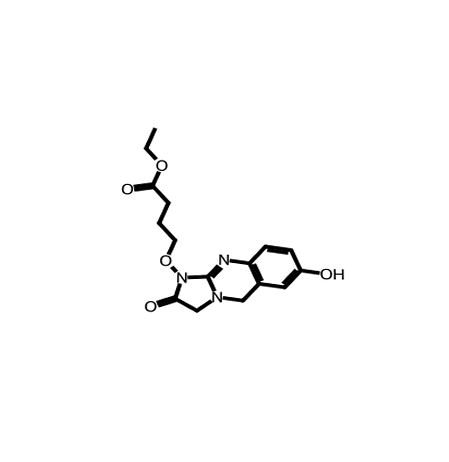 CCOC(=O)CCCON1C(=O)CN2Cc3cc(O)ccc3N=C21